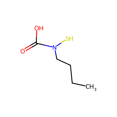 CCCCN(S)C(=O)O